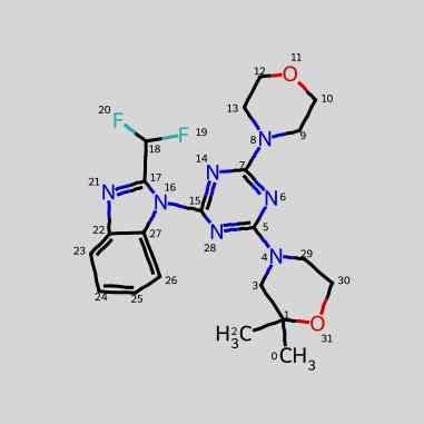 CC1(C)CN(c2nc(N3CCOCC3)nc(-n3c(C(F)F)nc4ccccc43)n2)CCO1